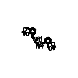 CCCC(CNCc1cccc2c1OC(C)(C)OC2)NCc1cccc2c1COC(C)(C)O2